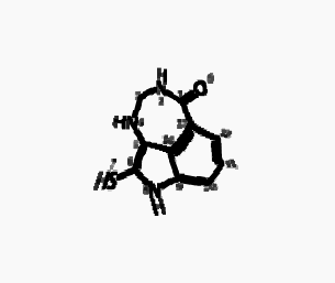 O=C1NCNc2c(S)[nH]c3cccc1c23